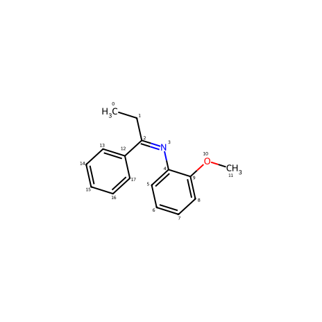 CC/C(=N/c1ccccc1OC)c1ccccc1